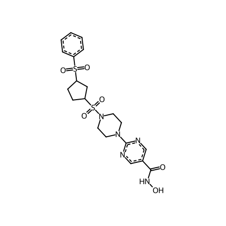 O=C(NO)c1cnc(N2CCN(S(=O)(=O)C3CCC(S(=O)(=O)c4ccccc4)C3)CC2)nc1